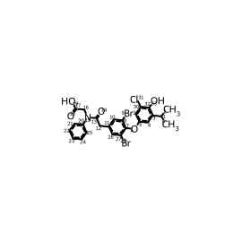 CC(C)c1cc(Oc2c(Br)cc(CC(=O)N(CC(=O)O)c3ccccc3)cc2Br)cc(Cl)c1O